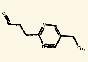 CCc1cnc(CCC=O)nc1